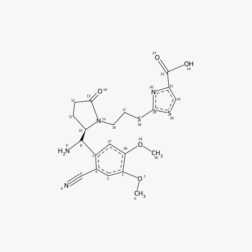 COc1cc(C#N)c(C(N)[C@H]2CCC(=O)N2CCSc2nc(C(=O)O)cs2)cc1OC